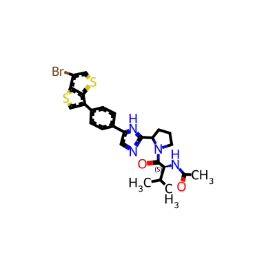 CC(=O)N[C@H](C(=O)N1CCCC1c1ncc(-c2ccc(-c3csc4c(Br)csc34)cc2)[nH]1)C(C)C